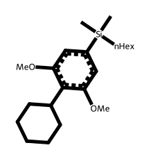 CCCCCC[Si](C)(C)c1cc(OC)c(C2CCCCC2)c(OC)c1